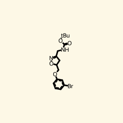 CC(C)(C)OC(=O)NCC1=NOC(COc2cccc(Br)c2)C1